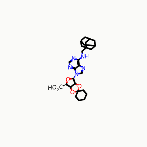 O=C(O)[C@H]1O[C@@H](n2cnc3c(NCC45CC6CC(CC(C6)C4)C5)ncnc32)C2OC3(CCCCC3)OC21